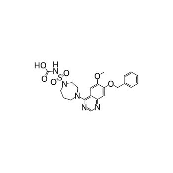 COc1cc2c(N3CCCN(S(=O)(=O)NC(=O)O)CC3)ncnc2cc1OCc1ccccc1